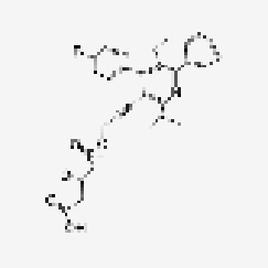 CCc1c(-c2ccccc2)nc(C(C)C)c(C#CCO[PH](=O)C[C@@H](O)CC(=O)O)c1-c1ccc(F)cc1